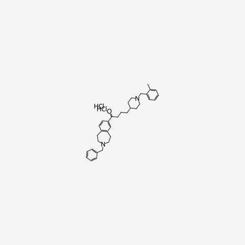 Cc1ccccc1CN1CCC(CCCC(=O)c2ccc3c(c2)CCN(Cc2ccccc2)CC3)CC1.Cl.Cl